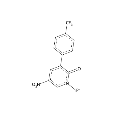 CC(C)n1cc([N+](=O)[O-])cc(-c2ccc(C(F)(F)F)cc2)c1=O